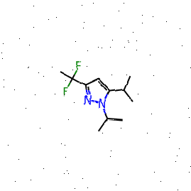 CC(C)c1cc(C(C)(F)F)nn1C(C)C